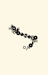 O=C1CCC(N2C(=O)c3ccc(N4CC(N5CCN(C6CN(c7nc(NCCc8ccc([N+](=O)[O-])cc8)c8ccccc8n7)C6)CC5)C4)cc3C2=O)C(=O)N1